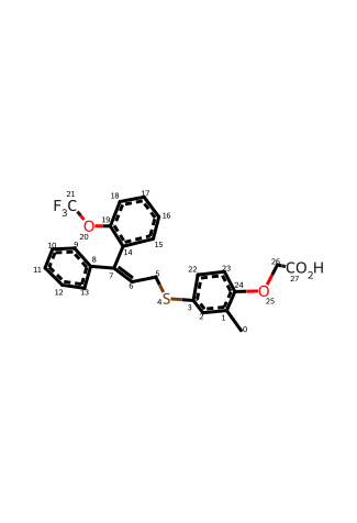 Cc1cc(SCC=C(c2ccccc2)c2ccccc2OC(F)(F)F)ccc1OCC(=O)O